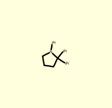 CC(C)N1CCCC1(C(C)C)C(C)C